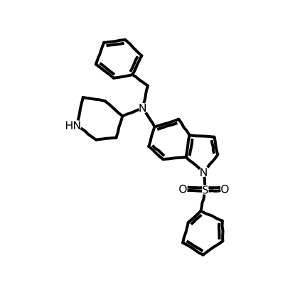 O=S(=O)(c1ccccc1)n1ccc2cc(N(Cc3ccccc3)C3CCNCC3)ccc21